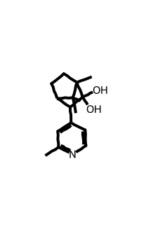 Cc1cc(C2C3CCC(C)(C3(C)C)C2(O)O)ccn1